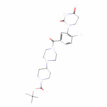 CC(C)(C)OC(=O)N1CCC(N2CCN(C(=O)c3ccc(Cl)c(N4CCC(=O)NC4=O)c3)CC2)CC1